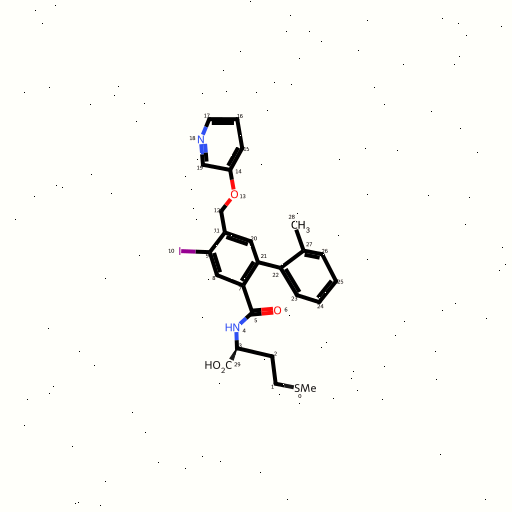 CSCC[C@H](NC(=O)c1cc(I)c(COc2cccnc2)cc1-c1ccccc1C)C(=O)O